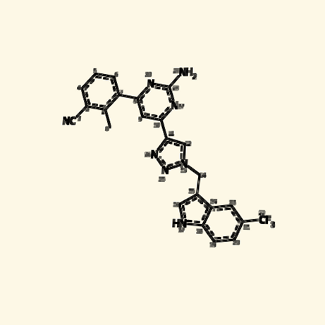 Cc1c(C#N)cccc1-c1cc(-c2cn(Cc3c[nH]c4ccc(C(F)(F)F)cc34)nn2)nc(N)n1